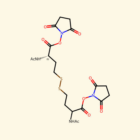 CC(=O)NC(CCSSCC[C@H](NC(C)=O)C(=O)ON1C(=O)CCC1=O)C(=O)ON1C(=O)CCC1=O